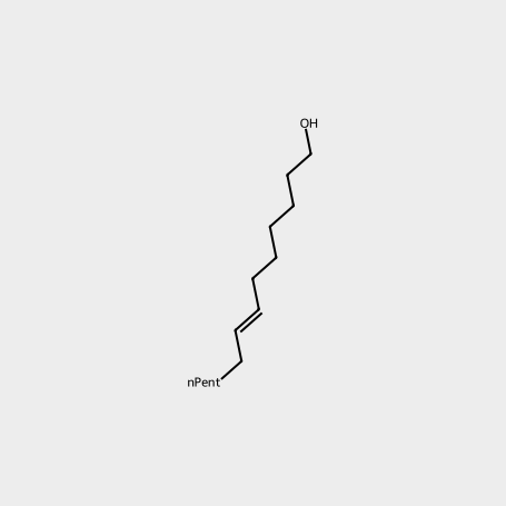 CCCCCC/C=C/CCCCCCO